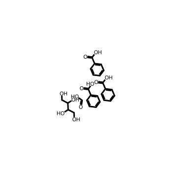 O=C(O)c1ccccc1.O=C(O)c1ccccc1.O=C(O)c1ccccc1.O=CO.OCC(O)C(O)CO